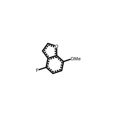 COc1ccc(F)c2ccoc12